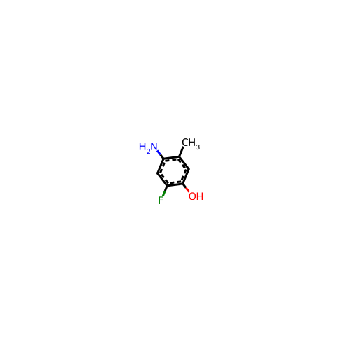 Cc1cc(O)c(F)cc1N